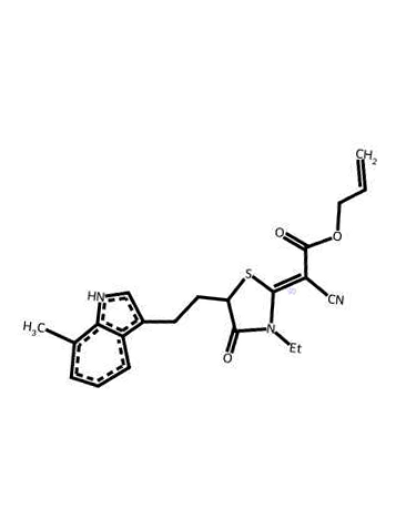 C=CCOC(=O)/C(C#N)=C1\SC(CCc2c[nH]c3c(C)cccc23)C(=O)N1CC